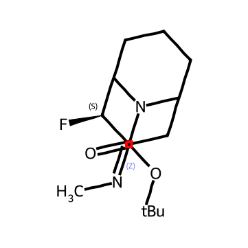 C/N=C1/CC2CCCC([C@@H]1F)N2C(=O)OC(C)(C)C